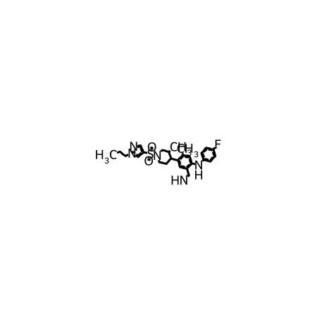 CCCn1cc(S(=O)(=O)N2CCC(c3cc(C=N)c(Nc4ccc(F)cc4)cc3C)C(C)C2)cn1